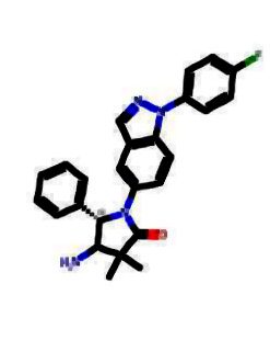 CC1(C)C(=O)N(c2ccc3c(cnn3-c3ccc(F)cc3)c2)[C@@H](c2ccccc2)C1N